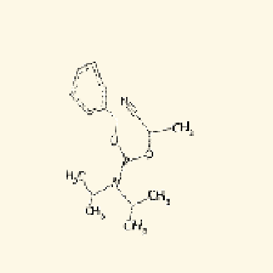 CC(C#N)OP(OCc1ccccc1)N(C(C)C)C(C)C